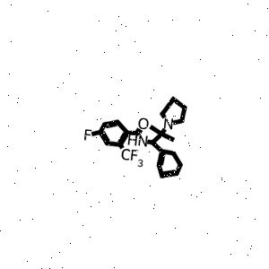 CC(C)(C(NC(=O)c1ccc(F)cc1C(F)(F)F)C1=CC=CCC1)N1CCCC1